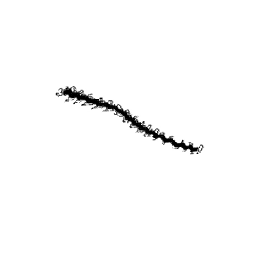 [CH2]CCCCCCCCCCCCCCCCCCCCCCCCCCCCCC[CH2]